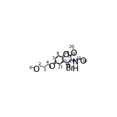 COCCCOc1cccc(/C(Br)=C(/NC=O)C(=O)OC)c1